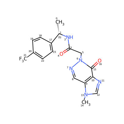 C[C@H](NC(=O)Cn1ncc2c(ncn2C)c1=O)c1ccc(C(F)(F)F)cc1